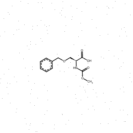 COC(=O)N[C@@H](COCc1ccccc1)C(=O)O